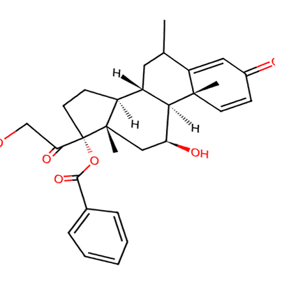 CC1C[C@@H]2[C@H]([C@@H](O)C[C@@]3(C)[C@H]2CC[C@]3(OC(=O)c2ccccc2)C(=O)CO)[C@@]2(C)C=CC(=O)C=C12